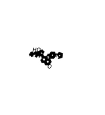 CC[C@@]1(C)[C@H]([C@@H]2CCC3=CC(=O)CC[C@@H]3[C@H]2Cc2ccc(N3CCCC3)cc2)CC[C@@]1(O)C#CC(C)(C)C